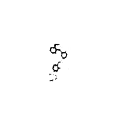 Cc1cc(N2COCCS2(=O)=O)ccc1C(=O)Nc1ccc(C)c(-c2nccc3ccccc23)c1